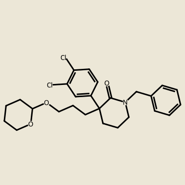 O=C1N(Cc2ccccc2)CCCC1(CCCOC1CCCCO1)c1ccc(Cl)c(Cl)c1